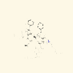 CCCCCCCCCCCCC/C=C/[C@@H](OC(=O)c1ccccc1)[C@H](CO[C@@]1(C)O[C@H](COC(=O)O)[C@H](OC(=O)O)[C@H](O)[C@H]1OC(=O)c1ccccc1)NC(=O)CCCCCCCCCCCCCCC